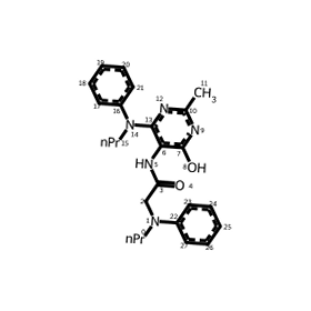 CCCN(CC(=O)Nc1c(O)nc(C)nc1N(CCC)c1ccccc1)c1ccccc1